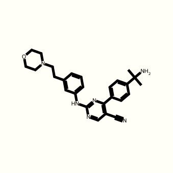 CC(C)(N)c1ccc(-c2nc(Nc3cccc(CCN4CCOCC4)c3)ncc2C#N)cc1